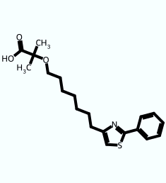 CC(C)(OCCCCCCCc1csc(-c2ccccc2)n1)C(=O)O